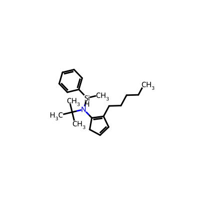 CCCCCC1=C(N([SiH](C)c2ccccc2)C(C)(C)C)CC=C1